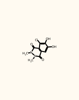 Cn1c(=O)c2cc(O)c(O)c(Cl)c2c(=O)n1C